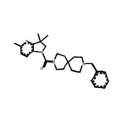 Cc1ccc2c(n1)C(C)(C)CN2C(=O)N1CCC2(CCN(Cc3ccccc3)CC2)CC1